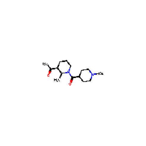 CC1C(C(=O)C(C)(C)C)CCCN1C(=O)C1CCN(C(C)(C)C)CC1